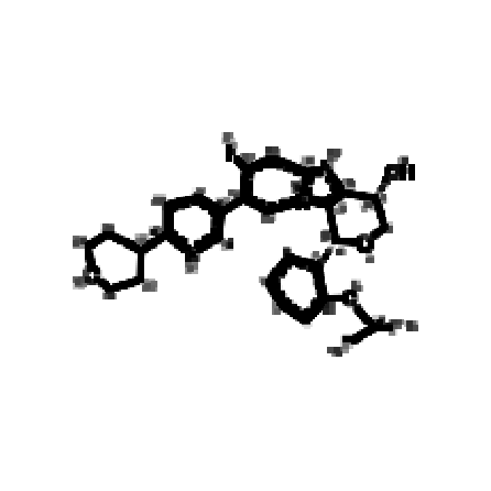 O[C@@H]1CO[C@H](c2ccccc2OC(F)F)c2c1nc1cc(F)c(-c3ccc(C4CCOCC4)nc3)cn21